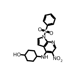 O=[N+]([O-])c1cnc2c(ccn2S(=O)(=O)c2ccccc2)c1NC1CCC(O)CC1